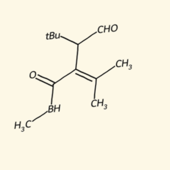 CBC(=O)C(=C(C)C)C(C=O)C(C)(C)C